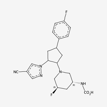 N#Cc1cnn(C2CC(c3ccc(F)cc3)CC2N2C[C@H](F)C[C@@H](NC(=O)O)C2)c1